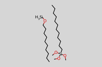 CCCCCCCCCCCC[Si](OC)(OC)OC.CCCCCCCCCCO[SiH3]